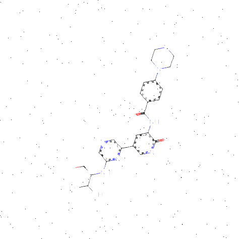 CC(C)[C@@H](CO)Nc1cncc(-c2c[nH]c(=O)c(NC(=O)c3ccc(N4CCNCC4)cc3)c2)n1